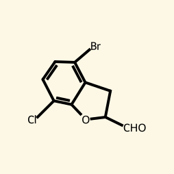 O=CC1Cc2c(Br)ccc(Cl)c2O1